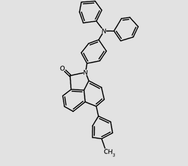 Cc1ccc(-c2ccc3c4c(cccc24)C(=O)N3c2ccc(N(c3ccccc3)c3ccccc3)cc2)cc1